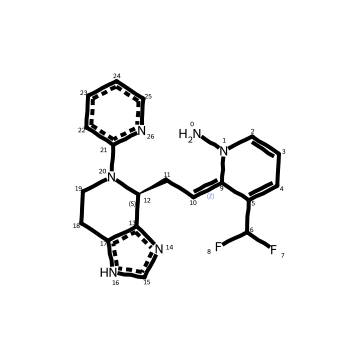 NN1C=CC=C(C(F)F)/C1=C/C[C@H]1c2nc[nH]c2CCN1c1ccccn1